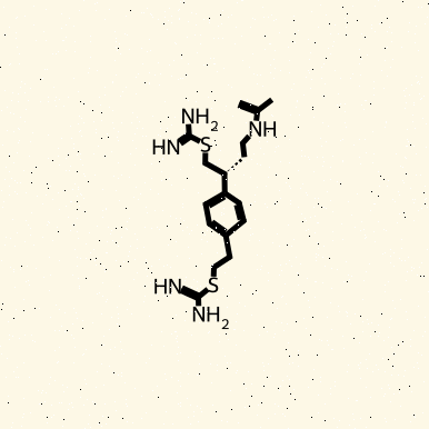 C=C(C)NCC[C@@H](CSC(=N)N)c1ccc(CCSC(=N)N)cc1